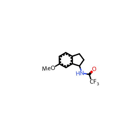 COc1ccc2c(c1)C(NC(=O)C(F)(F)F)CC2